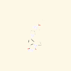 C[C@H](NC(=O)OC(C)(C)C)C1CCN(c2c(F)cc3c(=O)[nH]c(=O)n(C4CC4)c3c2OCF)C1